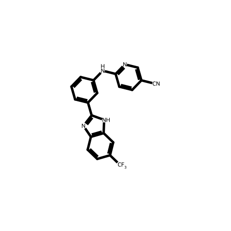 N#Cc1ccc(Nc2cccc(-c3nc4ccc(C(F)(F)F)cc4[nH]3)c2)nc1